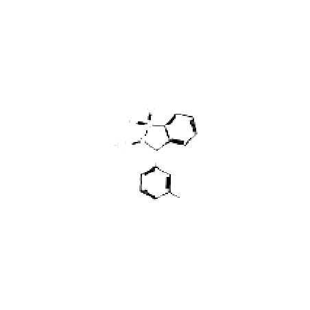 CN1[C@@H](c2cccc(Cl)c2)c2ccccc2S1(=O)=O